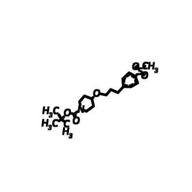 CC(C)(C)OC(=O)N1CCC(OCCCc2ccc(S(C)(=O)=O)cc2)CC1